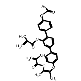 C=C(C)C(=O)OC(C)=C(C)Oc1ccc(-c2ccc(-c3ccc(OC(=O)C(C)=O)cc3)c(OC(=O)C(=C)C)c2)cc1